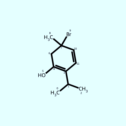 CC(C)C1=C(O)CC(C)(Br)C=C1